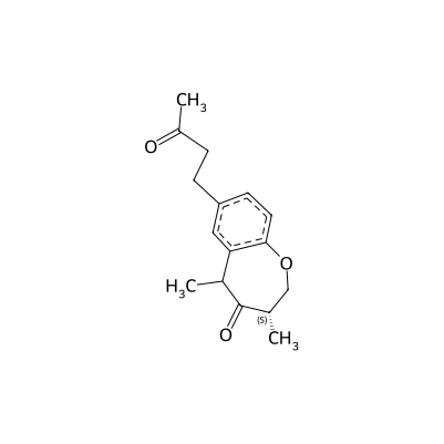 CC(=O)CCc1ccc2c(c1)C(C)C(=O)[C@@H](C)CO2